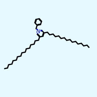 CCCCCCCCCCCCCCCCc1cc(CCCCCCCCCCCCCCCC)c[n+](Cc2ccccc2)c1